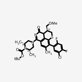 COC[C@H]1CSc2c(-c3cc(Cl)c(F)cc3F)c(C)cc3c2C1C(=O)N=C3N1C[C@@H](C)N(C(=O)OC(C)(C)C)[C@@H](C)C1